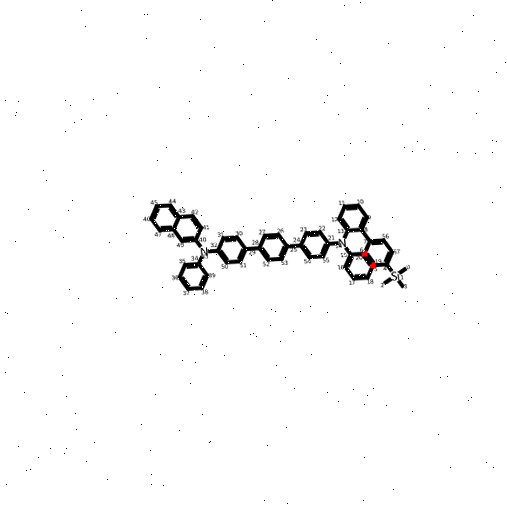 C[Si](C)(C)c1ccc(-c2ccccc2N(c2ccccc2)c2ccc(-c3ccc(-c4ccc(N(c5ccccc5)c5ccc6ccccc6c5)cc4)cc3)cc2)cc1